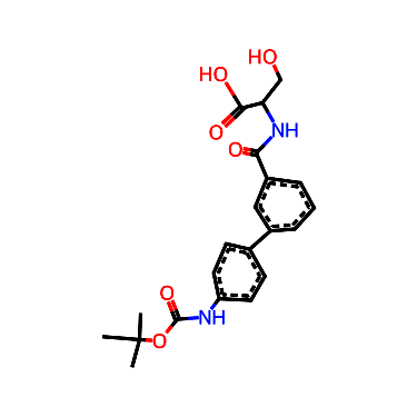 CC(C)(C)OC(=O)Nc1ccc(-c2cccc(C(=O)NC(CO)C(=O)O)c2)cc1